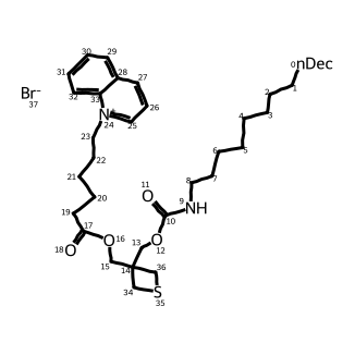 CCCCCCCCCCCCCCCCCCNC(=O)OCC1(COC(=O)CCCCC[n+]2cccc3ccccc32)CSC1.[Br-]